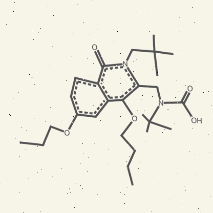 CCCCOc1c(CN(C(=O)O)C(C)(C)C)n(CC(C)(C)C)c(=O)c2ccc(OCCC)cc12